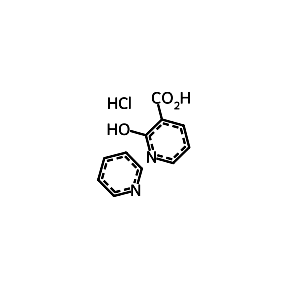 Cl.O=C(O)c1cccnc1O.c1ccncc1